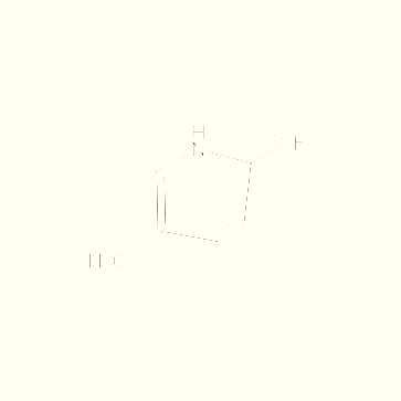 CC1=CNC(C(F)(F)F)C=C1